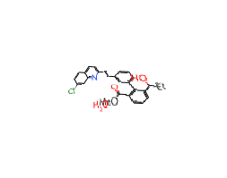 CCC(O)c1cccc(C(=O)OC)c1-c1cccc(C=Cc2ccc3ccc(Cl)cc3n2)c1.O